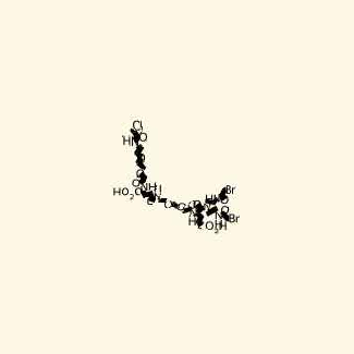 O=C(O)CCC(NC(=O)COCCOCCNC(=O)CCC(NC(=O)COCCOCCNC(=O)CCl)C(=O)O)C(=O)N(CCNC(=O)CBr)CCNC(=O)CBr